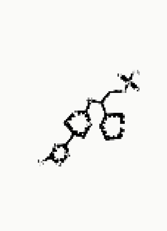 CS(=O)(=O)NCC(Nc1ncc(-c2noc(C(F)(F)F)n2)cn1)c1ccccc1